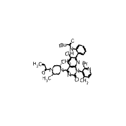 C=CC(=O)N1C[C@H](C)N(c2nc(=O)n(-c3c(C)ccnc3C(C)C)c3nc(-c4ccccc4NC(=O)C(C)(C)C)c(Cl)cc23)C[C@H]1C